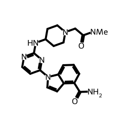 CNC(=O)CN1CCC(Nc2nccc(-n3ccc4c(C(N)=O)cccc43)n2)CC1